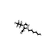 CCCCCCN1N=CN(C(F)(F)C(F)(F)F)C1C#N